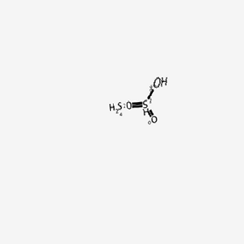 O=[SH](=O)O.S